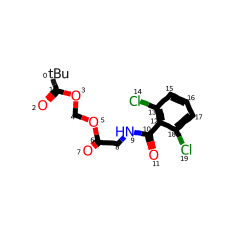 CC(C)(C)C(=O)OCOC(=O)CNC(=O)c1c(Cl)cccc1Cl